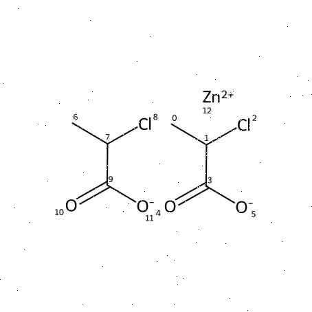 CC(Cl)C(=O)[O-].CC(Cl)C(=O)[O-].[Zn+2]